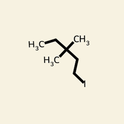 CCC(C)(C)CCI